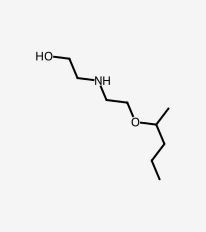 CCCC(C)OCCNCCO